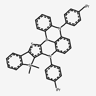 CC(C)c1ccc(N2c3ccccc3B3c4sc5c(c4N(c4ccc(C(C)C)cc4)c4cccc2c43)[Si](C)(C)c2ccccc2-5)cc1